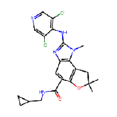 Cn1c(Nc2c(Cl)cncc2Cl)nc2cc(C(=O)NCC3CC3)c3c(c21)CC(C)(C)O3